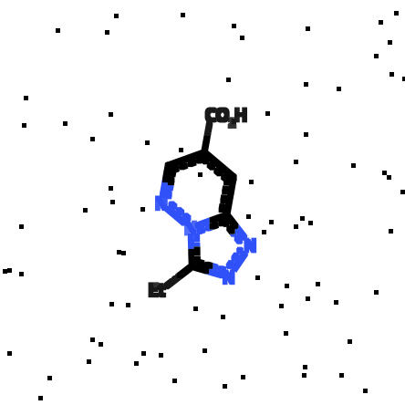 CCc1nnc2cc(C(=O)O)cnn12